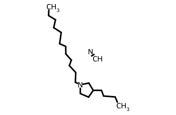 C#N.CCCCCCCCCCCCN1CCC(CCCC)C1